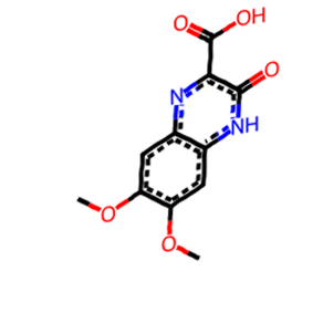 COc1cc2nc(C(=O)O)c(=O)[nH]c2cc1OC